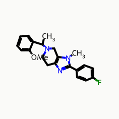 COc1ccccc1C(C)N1CCc2nc(-c3ccc(F)cc3)n(C)c2C1